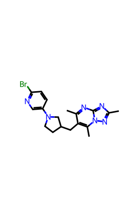 Cc1nc2nc(C)c(CC3CCN(c4ccc(Br)nc4)C3)c(C)n2n1